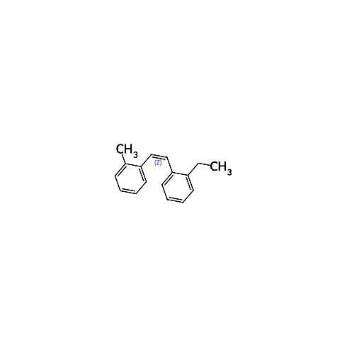 CCc1ccccc1/C=C\c1ccccc1C